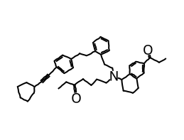 CCC(=O)CCCCN(CCc1ccccc1CCc1ccc(C#CC2CCCCC2)cc1)C1CCCc2cc(C(=O)CC)ccc21